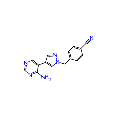 N#Cc1ccc(Cn2cc(-c3cncnc3N)cn2)cc1